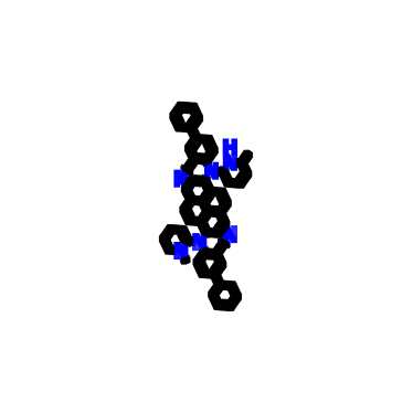 CC1C=CCC(N(C2=CCC3C=CC4c5c(ccc2c53)C=CC4N(C2=CCCCN2C)c2ccc(C3CC=CCC3)cc2C#N)c2ccc(-c3ccccc3)cc2C#N)N1